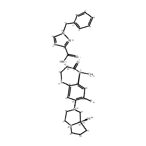 CN1C(=O)[C@@H](NC(=O)c2ncn(Cc3ccccc3)n2)CSc2cc(N3CCN4CCC[C@H]4C3)c(F)cc21